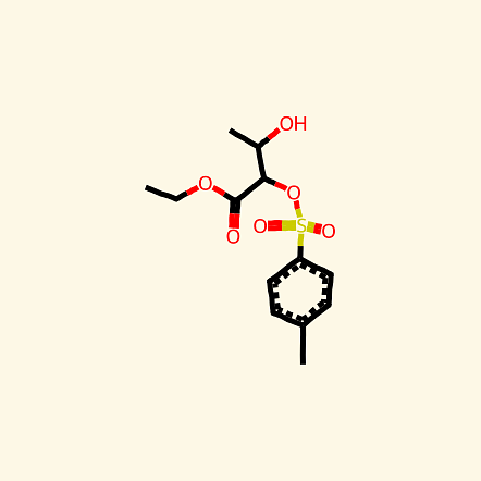 CCOC(=O)C(OS(=O)(=O)c1ccc(C)cc1)C(C)O